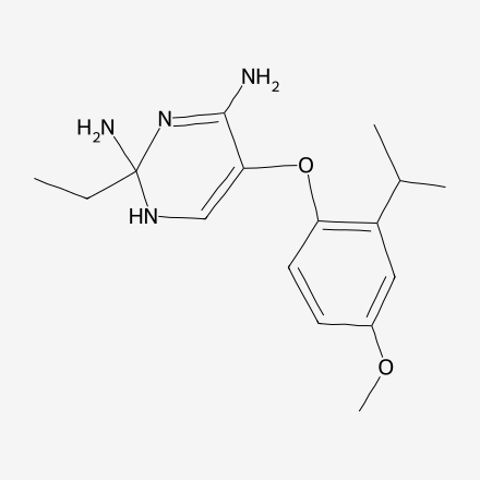 CCC1(N)N=C(N)C(Oc2ccc(OC)cc2C(C)C)=CN1